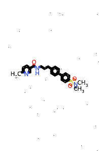 Cc1ccc(C(=O)NCCCc2ccc(-c3ccc(S(=O)(=O)N(C)C)cc3)cc2)cn1